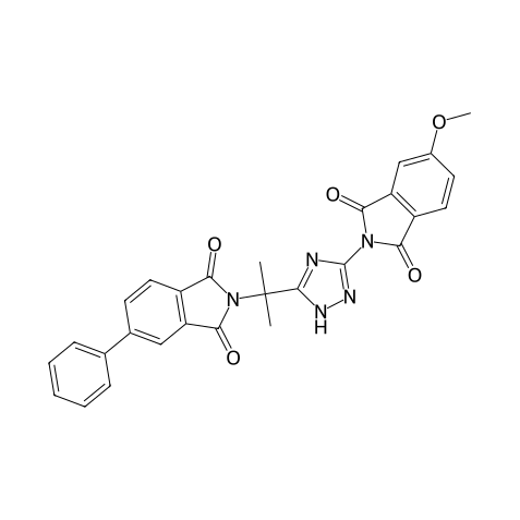 COc1ccc2c(c1)C(=O)N(c1n[nH]c(C(C)(C)N3C(=O)c4ccc(-c5ccccc5)cc4C3=O)n1)C2=O